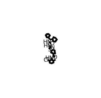 Cc1cccc(Cl)c1NC(=O)c1ccc2nc(NC(=O)NC(c3ccccc3)c3ccccc3)sc2c1